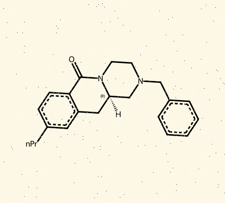 CCCc1ccc2c(c1)C[C@@H]1CN(Cc3ccccc3)CCN1C2=O